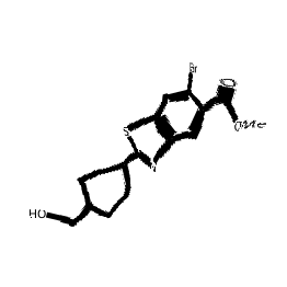 COC(=O)c1cc2nc(C3CCC(CO)CC3)sc2cc1Br